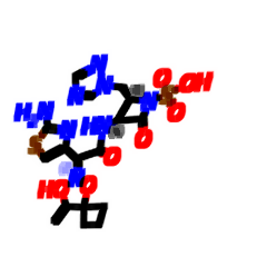 C=C(O)C1(O/N=C(\C(=O)N[C@@H]2C(=O)N(S(=O)(=O)O)[C@@H]2Cn2cncn2)c2csc(N)n2)CCC1